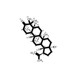 C=C(C)[C@@H]1CC[C@]2(CC)CC[C@]3(C)C(CC[C@@H]4[C@@]5(C)CCC(=O)C(C)(C)[C@@H]5CC[C@]43C)[C@@H]12